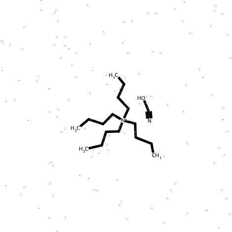 CCCC[N+](CCCC)(CCCC)CCCC.N#CO